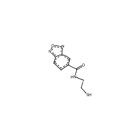 O=C(NCCS)c1ccc2nonc2c1